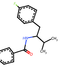 CC(C)C(Cc1ccc(F)cc1)NC(=O)c1ccccc1